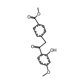 COC(=O)c1ccc(CC(=O)c2ccc(OC)cc2O)cc1